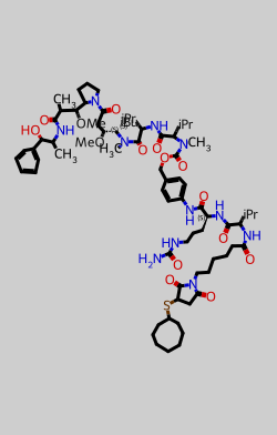 CC[C@H](C)[C@@H](C(CC(=O)N1CCCC1C(OC)C(C)C(=O)NC(C)C(O)c1ccccc1)OC)N(C)C(=O)C(NC(=O)C(C(C)C)N(C)C(=O)OCc1ccc(NC(=O)[C@H](CCCNC(N)=O)NC(=O)C(NC(=O)CCCCCN2C(=O)CC(SC3CCCCCCC3)C2=O)C(C)C)cc1)C(C)C